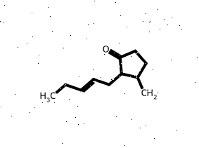 [CH2]C1CCC(=O)C1CC=CCC